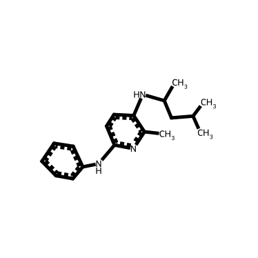 Cc1nc(Nc2ccccc2)ccc1NC(C)CC(C)C